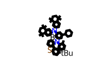 Cc1ccccc1N1c2cc(C3CCCCC3)cc3c2B(c2cc4c(cc2N3c2ccc3c(c2)C(C)(C)CCC3(C)C)C(C)(C)CCC4(C)C)c2ccc3sc4ccc(C(C)(C)C)cc4c3c21